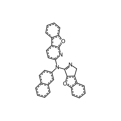 c1ccc2cc(N(C3=NCc4c3oc3ccccc43)c3ccc4c(n3)oc3ccccc34)ccc2c1